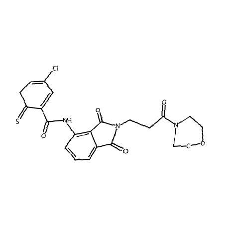 O=C(Nc1cccc2c1C(=O)N(CCC(=O)N1CCOCC1)C2=O)C1=CC(Cl)=CCC1=S